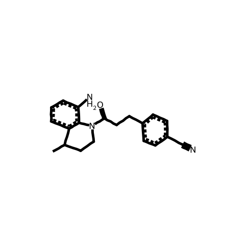 CC1CCN(C(=O)CCc2ccc(C#N)cc2)c2c(N)cccc21